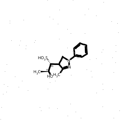 CC1=NN(c2ccccc2)CC1[C@H]([C@H](C)O)S(=O)(=O)O